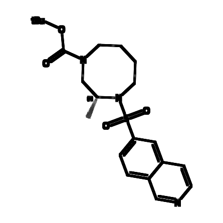 C[C@@H]1CN(C(=O)OC(C)(C)C)CCCCN1S(=O)(=O)c1ccc2cnccc2c1